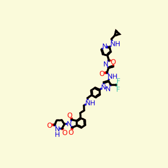 O=C1CCC(N2C(=O)c3cccc(CCCNCc4ccc(-n5cc(NC(=O)c6coc(-c7ccnc(NCC8CC8)c7)n6)c(C(F)F)n5)cc4)c3C2=O)C(=O)N1